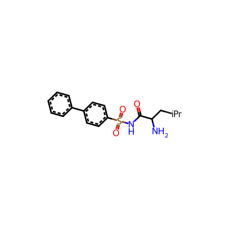 CC(C)CC(N)C(=O)NS(=O)(=O)c1ccc(-c2ccccc2)cc1